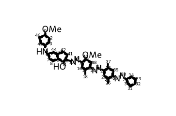 COc1ccc(Nc2ccc3c(O)c(N=Nc4cc(C)c(N=Nc5cc(C)c(N=Nc6ccccc6)cc5C)cc4OC)ccc3c2)cc1